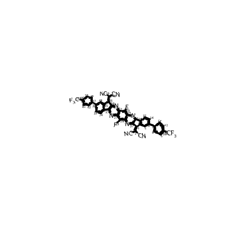 N#CC(C#N)=C1c2cc(-c3ccc(C(F)(F)F)cc3)ccc2-c2nc3c(F)c4nc5c(nc4c(F)c3nc21)-c1ccc(-c2ccc(C(F)(F)F)cc2)cc1C5=C(C#N)C#N